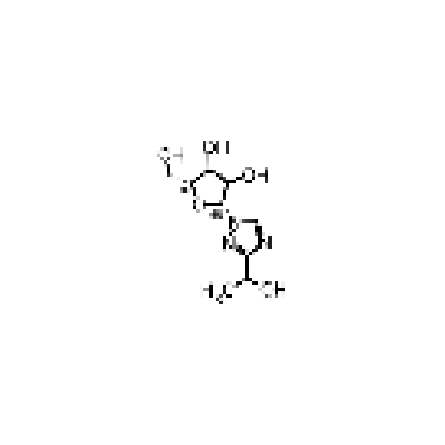 CC(O)c1ncn([C@@H]2O[C@H](CO)C(O)C2O)n1